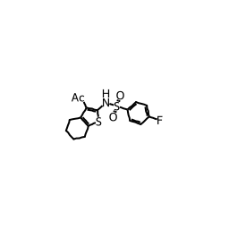 CC(=O)c1c(NS(=O)(=O)c2ccc(F)cc2)sc2c1CCCC2